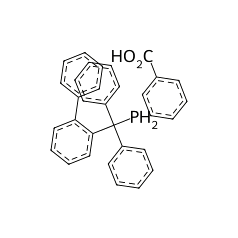 O=C(O)c1ccccc1.PC(c1ccccc1)(c1ccccc1)c1ccccc1-c1ccccc1